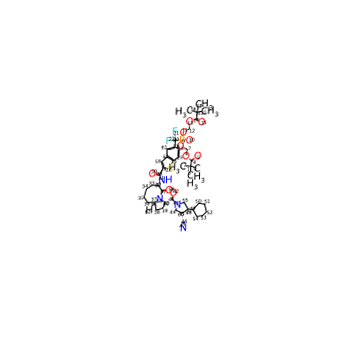 CC(C)(C)C(=O)OCOP(=O)(OCOC(=O)C(C)(C)C)C(F)(F)c1ccc2sc(C(=O)N[C@H]3CCCC[C@H]4CC[C@@H](C(=O)N5C[C@@H](C#N)[C@H](C6CCCCC6)C5)N4C3=O)cc2c1